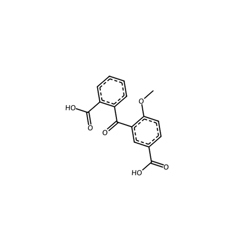 COc1ccc(C(=O)O)cc1C(=O)c1ccccc1C(=O)O